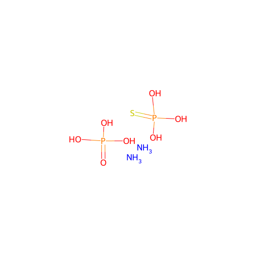 N.N.O=P(O)(O)O.OP(O)(O)=S